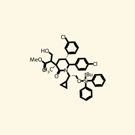 COC(=O)C(CO)[C@@]1(C)C[C@H](c2cccc(Cl)c2)C(c2ccc(Cl)cc2)N([C@H](CO[Si](c2ccccc2)(c2ccccc2)C(C)(C)C)C2CC2)C1=O